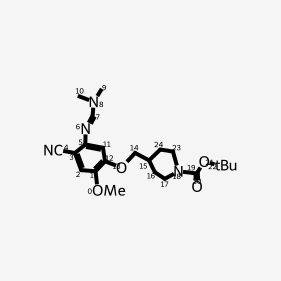 COc1cc(C#N)c(N=CN(C)C)cc1OCC1CCN(C(=O)OC(C)(C)C)CC1